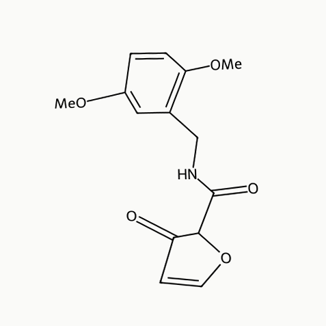 COc1ccc(OC)c(CNC(=O)C2OC=CC2=O)c1